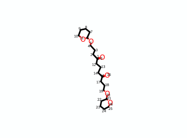 O=C(CCCOC1CCCCO1)CCCC(=O)CCCOC1CCCCO1